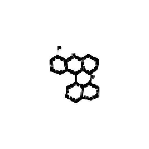 CC(C)c1cccc2c(-c3cccc4cccc(Br)c34)c3ccccc3nc12